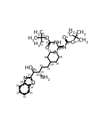 CC(C)(C)OC(=O)/N=C(\NC(=O)OC(C)(C)C)N1CCC(CC[C@H](N)C(O)c2nc3ccccc3o2)CC1